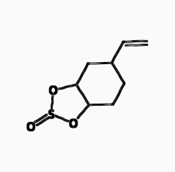 C=CC1CCC2OS(=O)OC2C1